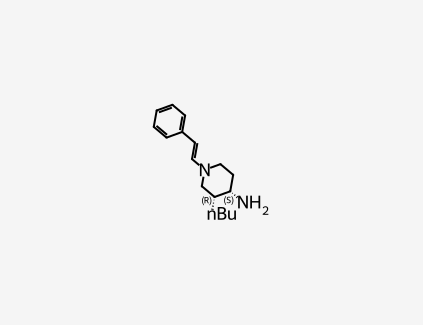 CCCC[C@@H]1CN(C=Cc2ccccc2)CC[C@@H]1N